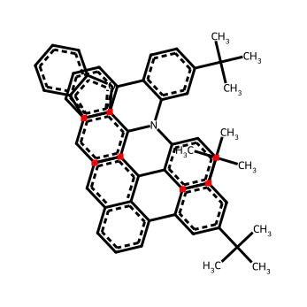 CC(C)(C)c1cc(-c2cccc3cccc(-c4ccccc4N(c4cc(C(C)(C)C)ccc4-c4ccccc4)c4cccc5c4oc4ccccc45)c23)cc(C(C)(C)C)c1